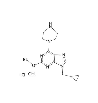 CCOc1nc(N2CCNCC2)c2ncn(CC3CC3)c2n1.Cl.Cl